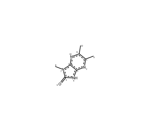 Cc1nc2[nH]c(=O)n(C)c2nc1C